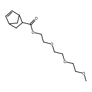 COCCOCCOCCOC(=O)C1CC2C=CC1C2